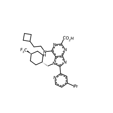 CC(C)c1ccnc(-c2nc3nc(C(=O)O)nc(NCCC4CCC4)c3n2C[C@H]2CC[C@H](C(F)(F)F)CC2)c1